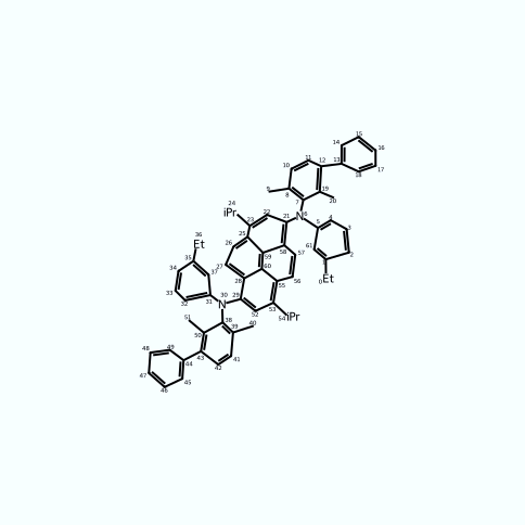 CCc1cccc(N(c2c(C)ccc(-c3ccccc3)c2C)c2cc(C(C)C)c3ccc4c(N(c5cccc(CC)c5)c5c(C)ccc(-c6ccccc6)c5C)cc(C(C)C)c5ccc2c3c54)c1